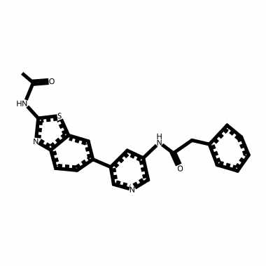 CC(=O)Nc1nc2ccc(-c3cncc(NC(=O)Cc4ccccc4)c3)cc2s1